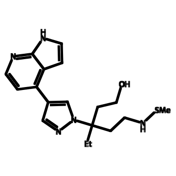 CCC(CCO)(CCNSC)n1cc(-c2ccnc3[nH]ccc23)cn1